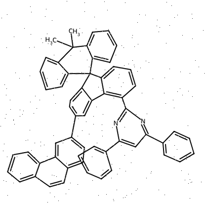 CC1(C)c2ccccc2C2(c3ccc(-c4ccc5ccc6ccccc6c5c4)cc3-c3c(-c4nc(-c5ccccc5)cc(-c5ccccc5)n4)cccc32)c2ccccc21